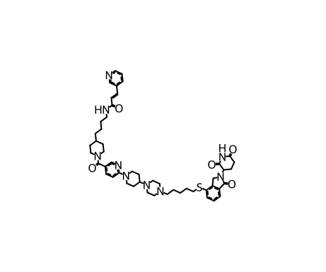 O=C(/C=C/c1cccnc1)NCCCCC1CCN(C(=O)c2ccc(N3CCC(N4CCN(CCCCCSc5cccc6c5CN(C5CCC(=O)NC5=O)C6=O)CC4)CC3)nc2)CC1